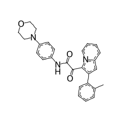 Cc1ccccc1-c1cc2ccccn2c1C(=O)C(=O)Nc1ccc(N2CCOCC2)cc1